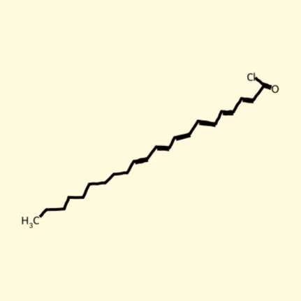 CCCCCCCCCC=CC=CC=CC=CC=CC=CC(=O)Cl